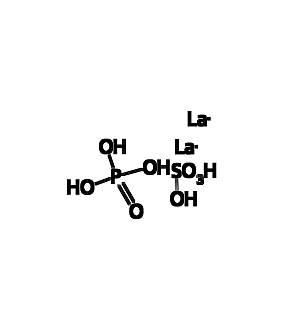 O=P(O)(O)O.O=S(=O)(O)O.[La].[La]